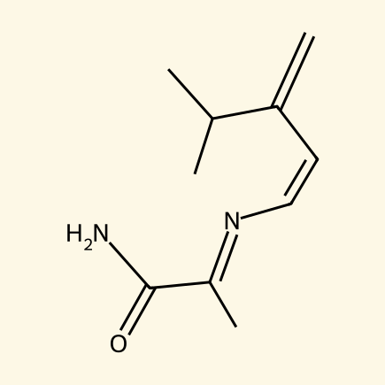 C=C(/C=C\N=C(/C)C(N)=O)C(C)C